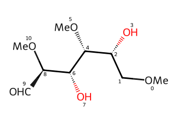 COC[C@@H](O)[C@@H](OC)[C@H](O)[C@@H](C=O)OC